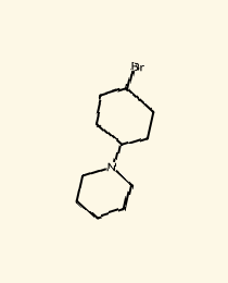 BrC1CCC(N2CCCCC2)CC1